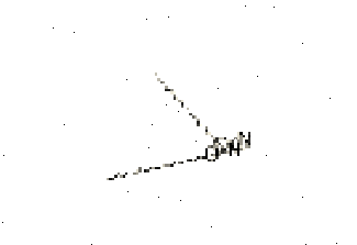 CCCCCC=CCC=CCCCCCCCCOCC(CN1CCN(C)CC1)OCCCCCCCCC=CCC=CCCCCC